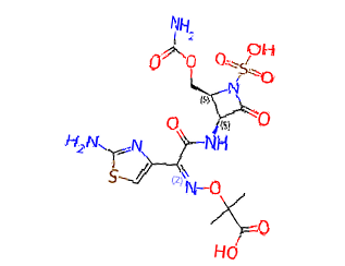 CC(C)(O/N=C(\C(=O)N[C@@H]1C(=O)N(S(=O)(=O)O)[C@@H]1COC(N)=O)c1csc(N)n1)C(=O)O